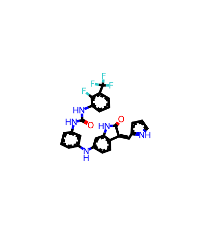 O=C(Nc1cccc(Nc2ccc3c(c2)NC(=O)/C3=C\c2ccc[nH]2)c1)Nc1cccc(C(F)(F)F)c1F